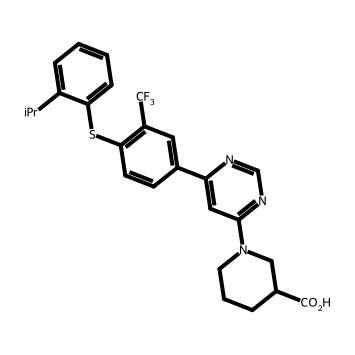 CC(C)c1ccccc1Sc1ccc(-c2cc(N3CCCC(C(=O)O)C3)ncn2)cc1C(F)(F)F